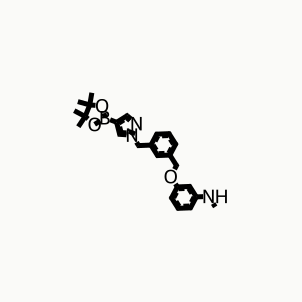 CNc1cccc(OCc2cccc(Cn3cc(B4OC(C)(C)C(C)(C)O4)cn3)c2)c1